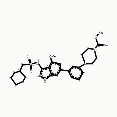 COc1cc(-c2cccc(N3CCN(C(=O)OC(C)(C)C)CC3)c2)cc2onc(NS(=O)(=O)CC3CCCCC3)c12